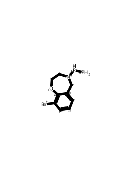 PPN1CCOc2c(Br)cccc2C1